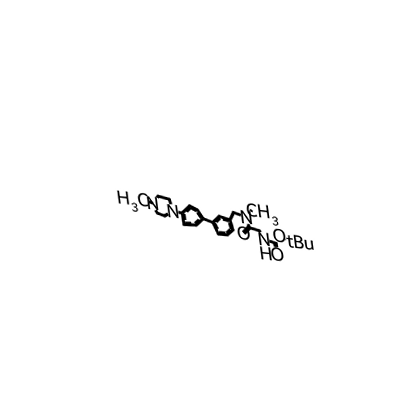 CN1CCN(c2ccc(-c3cccc(CN(C)C(=O)CNC(=O)OC(C)(C)C)c3)cc2)CC1